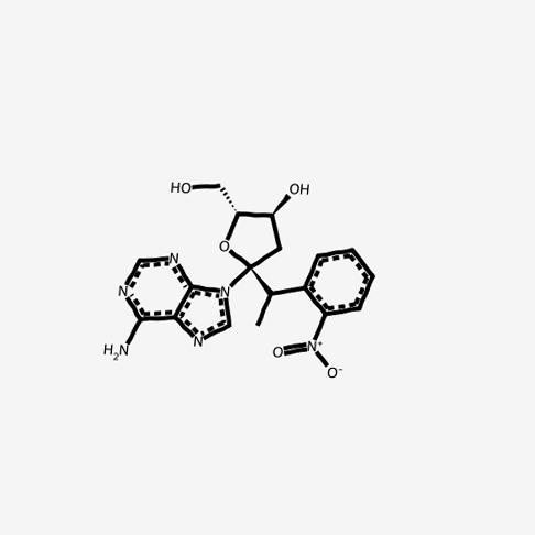 CC(c1ccccc1[N+](=O)[O-])[C@]1(n2cnc3c(N)ncnc32)C[C@H](O)[C@@H](CO)O1